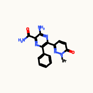 CC(C)n1nc(-c2nc(N)c(C(N)=O)nc2-c2ccccc2)ccc1=O